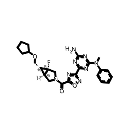 CN(c1ccccc1)c1nc(N)nc(-c2noc(C(=O)N3C[C@H]4[C@H](COC5CCCC5)[C@@]4(F)C3)n2)n1